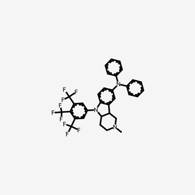 CN1CCC2C(C1)c1cc(N(c3ccccc3)c3ccccc3)ccc1N2c1cc(C(F)(F)F)c(C(F)(F)F)c(C(F)(F)F)c1